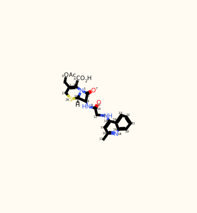 CC(=O)OCC1=C(C(=O)O)N2C(=O)[C@@H](NC(=O)CNc3cc(C)nc4ccccc34)[C@H]2SC1